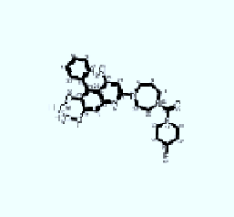 COc1cc2nc(N3CCCN(C(=O)N4CCC(F)CC4)CC3)cc(N)c2c(-c2ccccc2)c1OC